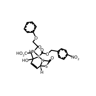 O=C(O)CC1(O)C=C[C@H]2SC(=O)N2S1(NC(=O)COc1ccccc1)C(=O)OCc1ccc([N+](=O)[O-])cc1